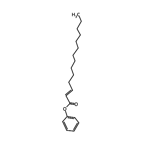 CCCCCCCCCCCC=CC(=O)Oc1ccccc1